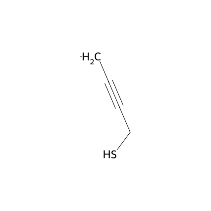 [CH2]C#CCS